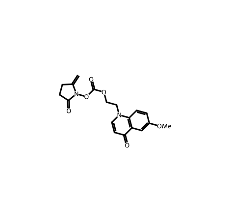 C=C1CCC(=O)N1OC(=O)OCCn1ccc(=O)c2cc(OC)ccc21